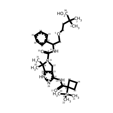 CC(C)(CCOCC(NC(=O)N1Cc2c(NC(=O)C3([Si](C)(C)C)CCC3)n[nH]c2C1(C)C)c1ccccc1)C(=O)O